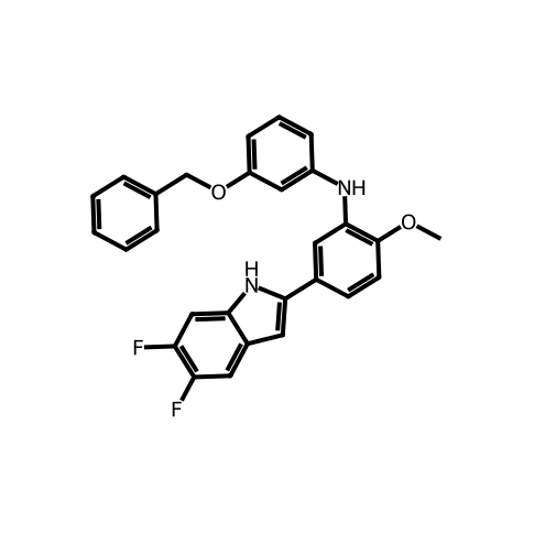 COc1ccc(-c2cc3cc(F)c(F)cc3[nH]2)cc1Nc1cccc(OCc2ccccc2)c1